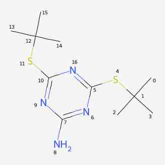 CC(C)(C)Sc1nc(N)nc(SC(C)(C)C)n1